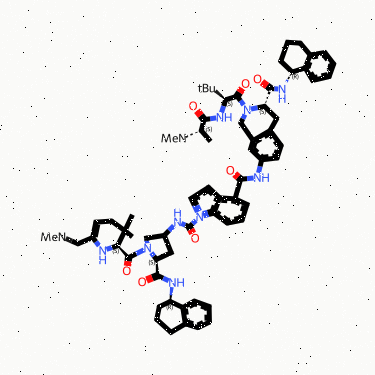 CNCC1=CCC(C)(C)[C@@H](C(=O)N2CC(NC(=O)n3ccc4c(C(=O)Nc5ccc6c(c5)CN(C(=O)[C@@H](NC(=O)[C@H](C)NC)C(C)(C)C)[C@H](C(=O)N[C@@H]5CCCc7ccccc75)C6)cccc43)C[C@H]2C(=O)N[C@@H]2CCCc3ccccc32)N1